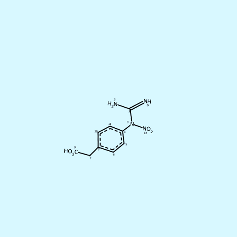 N=C(N)N(c1ccc(CC(=O)O)cc1)[N+](=O)[O-]